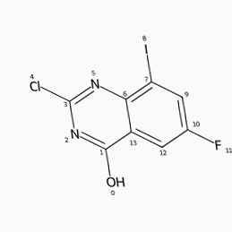 Oc1nc(Cl)nc2c(I)cc(F)cc12